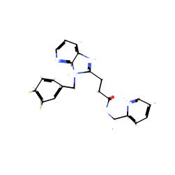 C[C@H](NC(=O)CCc1nc2cccnc2n1Cc1ccc(F)c(F)c1)c1ccccn1